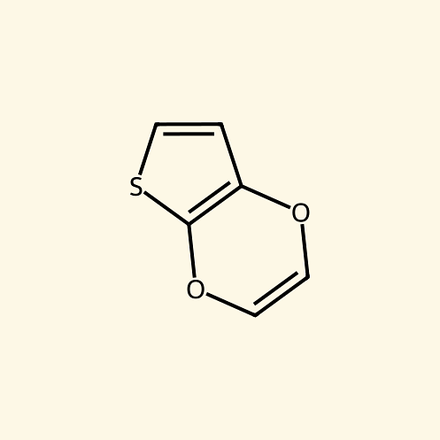 C1=COc2sccc2O1